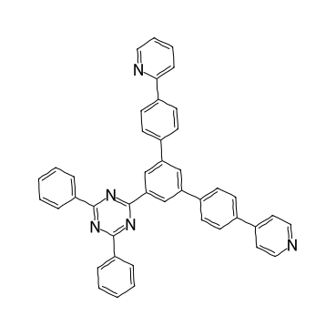 c1ccc(-c2nc(-c3ccccc3)nc(-c3cc(-c4ccc(-c5ccncc5)cc4)cc(-c4ccc(-c5ccccn5)cc4)c3)n2)cc1